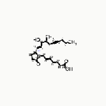 CCCC#CCC(C)C(O)/C=C/[C@H]1CCC(=O)N1CC=CCCCC(=O)O